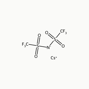 O=S(=O)([N-]S(=O)(=O)C(F)(F)F)C(F)(F)F.[Cs+]